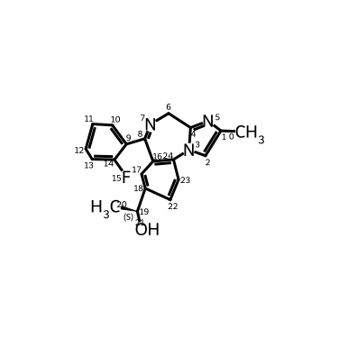 Cc1cn2c(n1)CN=C(c1ccccc1F)c1cc([C@H](C)O)ccc1-2